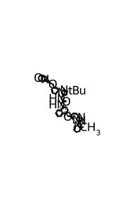 CC1CCCCN1c1nnc2ccc(O[C@@H]3CC[C@H](NC(=O)Nc4cc(C(C)(C)C)nn4-c4cccc(OCCN5C6CCC5COC6)c4)c4ccccc43)cn12